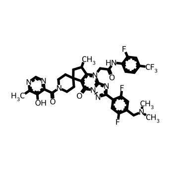 Cc1ncnc(C(=O)N2CCC3(CC2)CC(C)c2c3c(=O)n3nc(-c4cc(F)c(CN(C)C)cc4F)nc3n2CC(=O)Nc2ccc(C(F)(F)F)cc2F)c1O